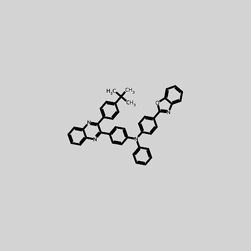 CC(C)(C)c1ccc(-c2nc3ccccc3nc2-c2ccc(N(c3ccccc3)c3ccc(-c4nc5ccccc5o4)cc3)cc2)cc1